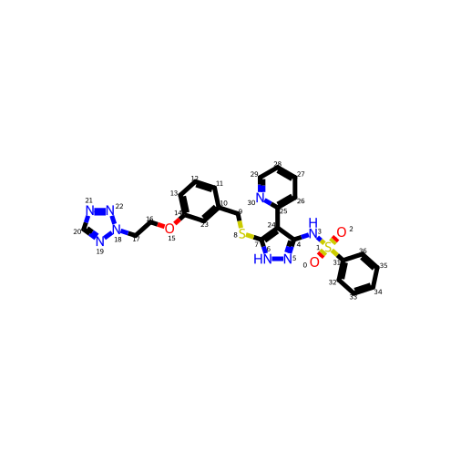 O=S(=O)(Nc1n[nH]c(SCc2cccc(OCCn3ncnn3)c2)c1-c1ccccn1)c1ccccc1